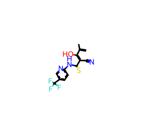 C=C(C)C(O)=C(C#N)C(=S)Nc1ccc(C(F)(F)F)cn1